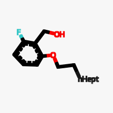 CCCCCCCCCOc1cccc(F)c1CO